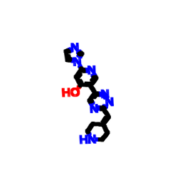 Oc1cc(-n2ccnc2)ncc1-c1cnc(C=C2CCNCC2)nn1